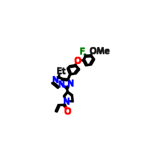 C=CC(=O)N1CCC(c2nc(-c3ccc(Oc4cccc(OC)c4F)cc3)c3c(CC)nccn23)C1